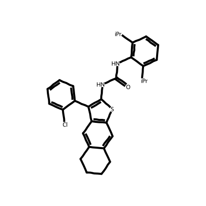 CC(C)c1cccc(C(C)C)c1NC(=O)Nc1sc2cc3c(cc2c1-c1ccccc1Cl)CCCC3